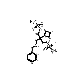 CS(=O)(=O)OCC(COCc1ccccc1)(COS(C)(=O)=O)C1CCC1